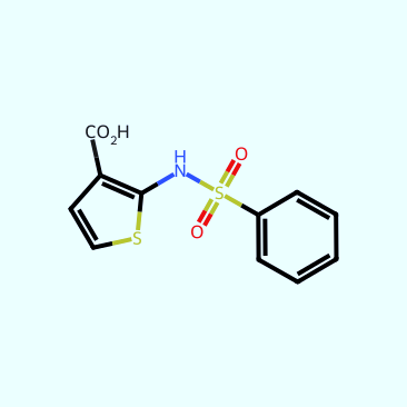 O=C(O)c1ccsc1NS(=O)(=O)c1ccccc1